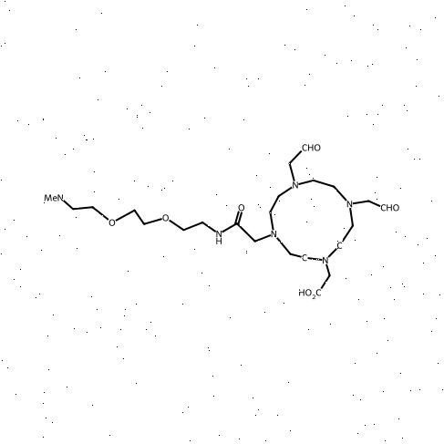 CNCCOCCOCCNC(=O)CN1CCN(CC=O)CCN(CC=O)CCN(CC(=O)O)CC1